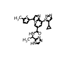 Cc1ccc(-c2cnc3c(-n4nncc4C4CC4)cc(C(=O)NC(C)c4nnc[nH]4)cn23)s1